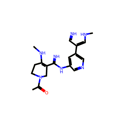 CN/C=C(\C=N)c1cncc(NC(=N)C2=C(NC)CCN(C(C)=O)C2)c1